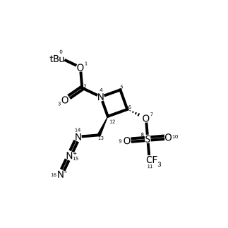 CC(C)(C)OC(=O)N1C[C@H](OS(=O)(=O)C(F)(F)F)[C@H]1CN=[N+]=[N-]